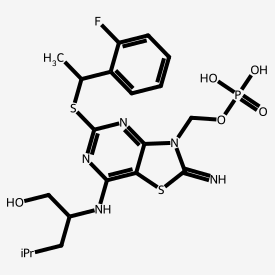 CC(C)CC(CO)Nc1nc(SC(C)c2ccccc2F)nc2c1sc(=N)n2COP(=O)(O)O